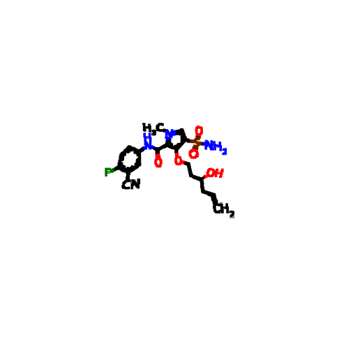 C=CC[C@H](O)CCOc1c(S(N)(=O)=O)cn(C)c1C(=O)Nc1ccc(F)c(C#N)c1